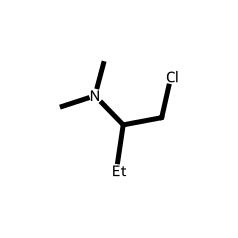 CCC(CCl)N(C)C